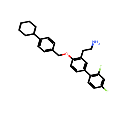 NCCc1cc(-c2ccc(F)cc2F)ccc1OCc1ccc(C2CCCCC2)cc1